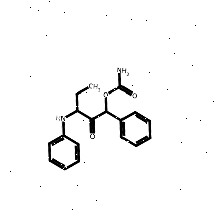 CCC(Nc1ccccc1)C(=O)C(OC(N)=O)c1ccccc1